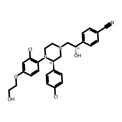 N#Cc1ccc([C@H](O)CN2CCN(c3ccc(OCCO)cc3Cl)[C@H](c3ccc(Cl)cc3)C2)cc1